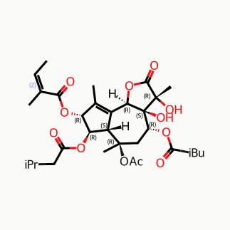 C/C=C(/C)C(=O)O[C@@H]1C(C)=C2[C@H]3OC(=O)[C@](C)(O)[C@]3(O)[C@H](OC(=O)C(C)CC)C[C@@](C)(OC(C)=O)[C@@H]2[C@H]1OC(=O)CC(C)C